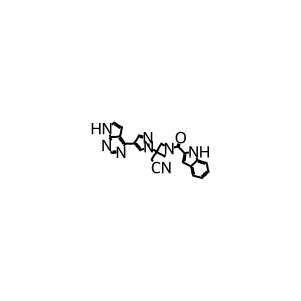 N#CCC1(n2cc(-c3ncnc4[nH]ccc34)cn2)CN(C(=O)c2cc3ccccc3[nH]2)C1